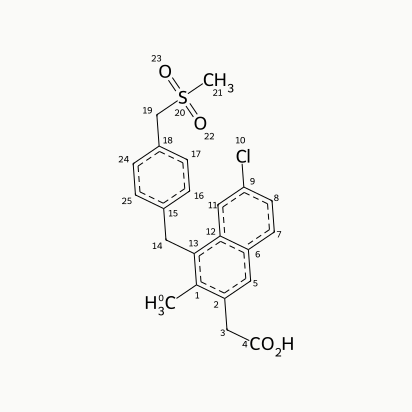 Cc1c(CC(=O)O)cc2ccc(Cl)cc2c1Cc1ccc(CS(C)(=O)=O)cc1